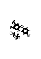 CC(C)(C)ON=O.COc1cc(Oc2ccc(Br)cc2)ccc1F